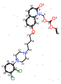 C=COC(=O)OCn1c(=O)ccc2ccc(OCCCCN3CCN(c4cccc(Cl)c4Cl)CC3)cc21